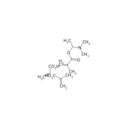 C=C(C)C(=O)O.C=C(C)C(=O)OC(C)N(C)C.C=CC(=O)O